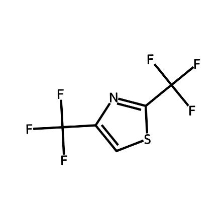 FC(F)(F)c1csc(C(F)(F)F)n1